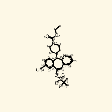 CCOC(=O)N1CCC(C2c3ccc(Cl)cc3C(OS(=O)(=O)C(F)(F)F)=Cc3cccnc32)CC1